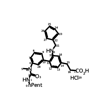 CCCCCNC(=O)N(C)c1cccc(-c2ccc(CCC(=O)O)cc2NCc2ccccc2)c1.Cl